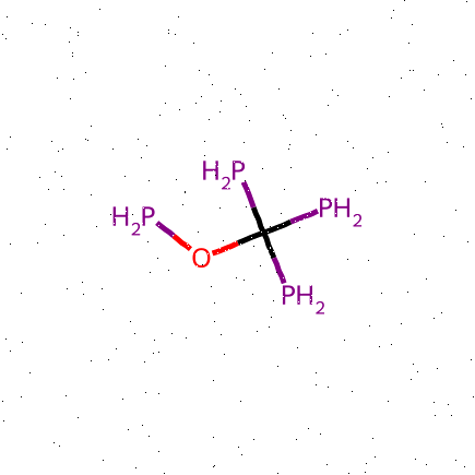 POC(P)(P)P